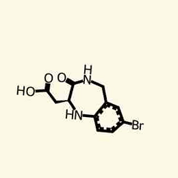 O=C(O)C[C@@H]1Nc2ccc(Br)cc2CNC1=O